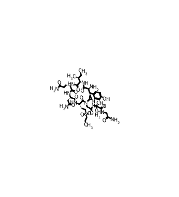 CCCS(=O)(=O)CC[C@H](NC(=O)[C@H](CC(N)=O)NC(=O)[C@H](CCC(N)=O)NC(=O)[C@@H](NC(=O)[C@@H](N)Cc1ccc(O)cc1)[C@@H](C)CC)C(=O)N(CC(=O)NC(C)(C)C(=O)NCC(N)=O)C1CC1